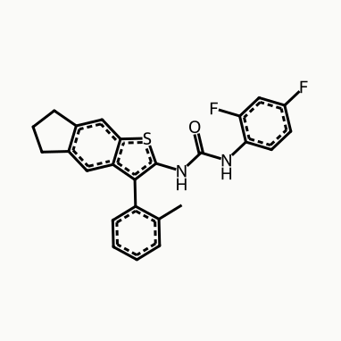 Cc1ccccc1-c1c(NC(=O)Nc2ccc(F)cc2F)sc2cc3c(cc12)CCC3